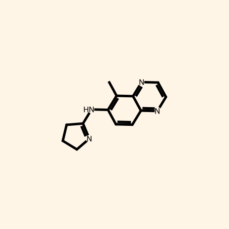 Cc1c(NC2=NCCC2)ccc2nccnc12